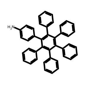 Nc1ccc(-c2c(-c3ccccc3)c(-c3ccccc3)c(-c3ccccc3)c(-c3ccccc3)c2-c2ccccc2)cc1